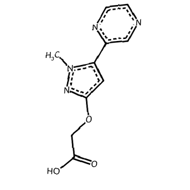 Cn1nc(OCC(=O)O)cc1-c1cnccn1